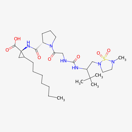 CCCCCCCC1C[C@]1(NC(=O)[C@@H]1CCCN1C(=O)CNC(=O)NC(CN1CCN(C)S1(=O)=O)C(C)(C)C)C(=O)O